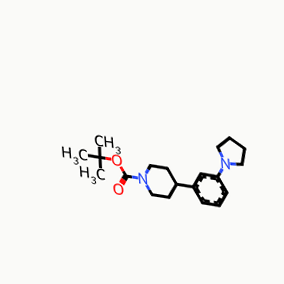 CC(C)(C)OC(=O)N1CCC(c2cccc(N3CCCC3)c2)CC1